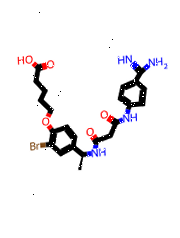 C[C@H](NC(=O)CC(=O)Nc1ccc(C(=N)N)cc1)c1ccc(OCCCCC(=O)O)c(Br)c1